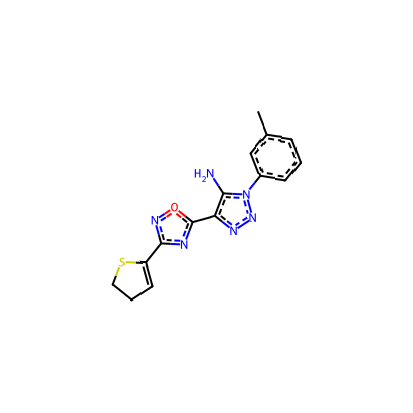 Cc1cccc(-n2nnc(-c3nc(C4=CCCS4)no3)c2N)c1